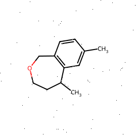 Cc1ccc2c(c1)C(C)CCOC2